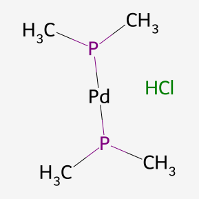 C[P](C)[Pd][P](C)C.Cl